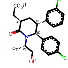 CC[C@@H](CO)N1C(=O)[C@@H](CC(=O)O)C[C@H](c2cccc(Cl)c2)[C@H]1c1ccc(Cl)cc1